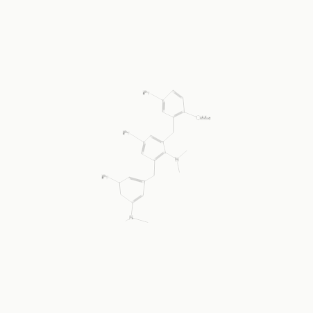 COc1ccc(C(C)C)cc1Cc1cc(C(C)C)cc(CC2=CC(C(C)C)CC(N(C)C)=C2)c1N(C)C